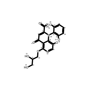 NC(=O)c1cc(=O)c2c(OCC(O)CO)ncc(Cl)c2n1-c1c(Cl)cccc1Cl